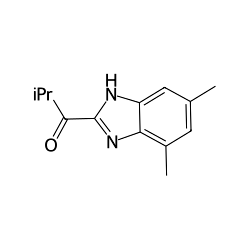 Cc1cc(C)c2nc(C(=O)C(C)C)[nH]c2c1